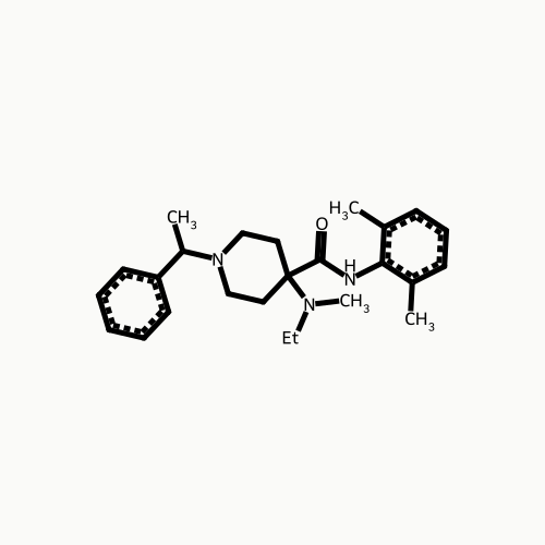 CCN(C)C1(C(=O)Nc2c(C)cccc2C)CCN(C(C)c2ccccc2)CC1